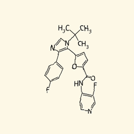 CC(C)(C)n1cnc(-c2ccc(F)cc2)c1-c1ccc(C(=O)Nc2ccncc2F)o1